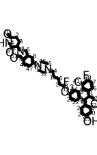 O=C1CCC(N2Cc3cc(N4CCN(CCCCCOc5ccc([C@@H]6c7ccc(O)cc7OCC6c6ccc(F)c(C(F)(F)F)c6)cc5)CC4)ccc3C2=O)C(=O)N1